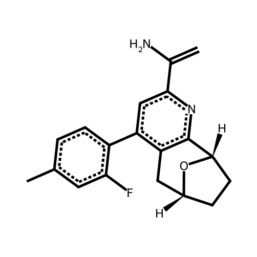 C=C(N)c1cc(-c2ccc(C)cc2F)c2c(n1)[C@@H]1CC[C@H](C2)O1